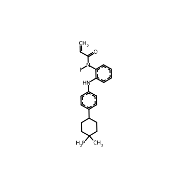 C=CC(=O)N(I)c1ccccc1Nc1ccc(C2CCC(C)(P)CC2)cc1